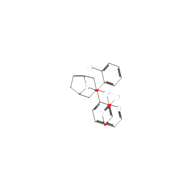 Clc1ccccc1C(c1ccccc1Cl)N1C2CCC1CC(Nc1ncccn1)C2